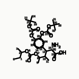 CCC(C)OC(=O)OC(C)C(C)C(c1ccc(OC(=O)OC(C)(C)C)c(OC(=O)OC(C)(C)C)c1)[C@H](N)C(=O)O